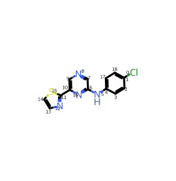 Clc1ccc(Nc2cncc(-c3nccs3)n2)cc1